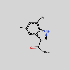 CNC(=O)c1c[nH]c2c(C(C)C)cc(C)cc12